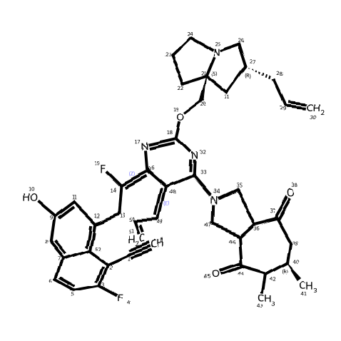 C#Cc1c(F)ccc2cc(O)cc(C/C(F)=c3/nc(OC[C@@]45CCCN4C[C@H](CC=C)C5)nc(N4CC5C(=O)C[C@@H](C)C(C)C(=O)C5C4)/c3=C/C=C)c12